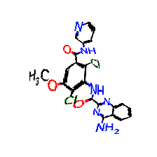 COc1cc(C(=O)Nc2cccnc2)c(Cl)c(NC(=O)c2nc(N)c3ccccc3n2)c1Cl